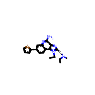 CCN(C)Cc1nc2c(N)nc3cc(-c4cccs4)ccc3c2n1CC